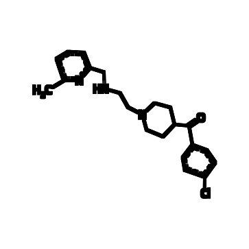 Cc1cccc(CNCCN2CCC(C(=O)c3ccc(Cl)cc3)CC2)n1